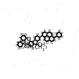 CC1(C)c2cc(-c3ccc4ccc5c(-c6ccccc6)ccc6ccc3c4c65)ccc2-c2c1ccc1c2Oc2ccccc2[Si]1(C)c1ccccc1